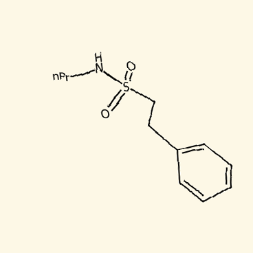 CCCNS(=O)(=O)CCc1ccccc1